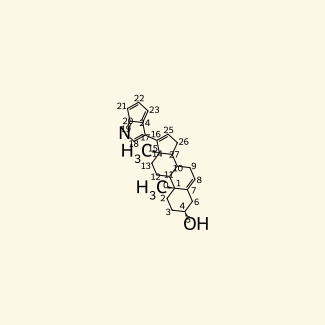 C[C@]12CC[C@H](O)CC1=CCC1C2CC[C@]2(C)C(C3=CN=C4C=CC=C34)=CCC12